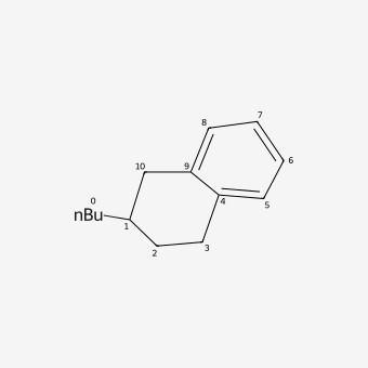 CCCCC1CCc2ccccc2C1